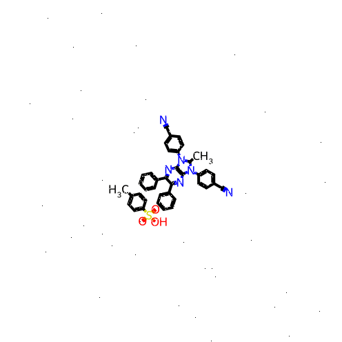 CC1N(c2ccc(C#N)cc2)c2nc(-c3ccccc3)c(-c3ccccc3)nc2N1c1ccc(C#N)cc1.Cc1ccc(S(=O)(=O)O)cc1